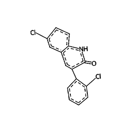 O=c1[nH]c2ccc(Cl)cc2cc1-c1ccccc1Cl